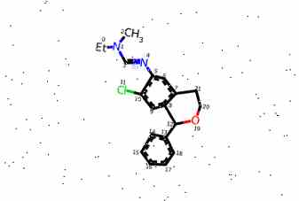 CCN(C)/C=N/c1cc2c(cc1Cl)C(c1ccccc1)OCC2